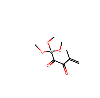 C=C(C)C(=O)C(=O)[Si](OC)(OC)OC